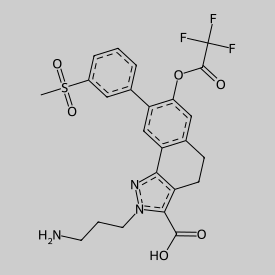 CS(=O)(=O)c1cccc(-c2cc3c(cc2OC(=O)C(F)(F)F)CCc2c-3nn(CCCN)c2C(=O)O)c1